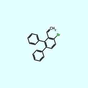 C=Cc1c(Br)ccc(-c2ccccc2)c1-c1ccccc1